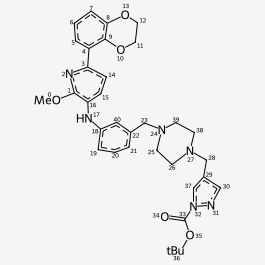 COc1nc(-c2cccc3c2OCCO3)ccc1Nc1cccc(CN2CCN(Cc3cnn(C(=O)OC(C)(C)C)c3)CC2)c1